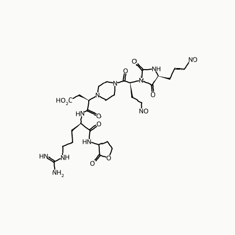 N=C(N)NCCC[C@@H](NC(=O)[C@@H](CC(=O)O)N1CCN(C(=O)[C@H](CCN=O)N2C(=O)N[C@@H](CCCN=O)C2=O)CC1)C(=O)NC1CCOC1=O